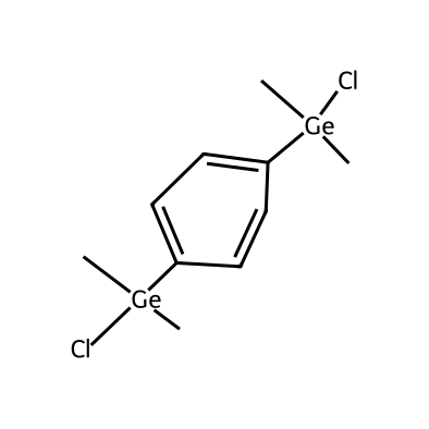 [CH3][Ge]([CH3])([Cl])[c]1cc[c]([Ge]([CH3])([CH3])[Cl])cc1